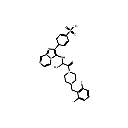 CC(Nc1c(C2C=CC(S(C)(=O)=O)=CC2)nc2cnccn12)C(=O)N1CCN(Cc2c(F)cccc2Cl)CC1